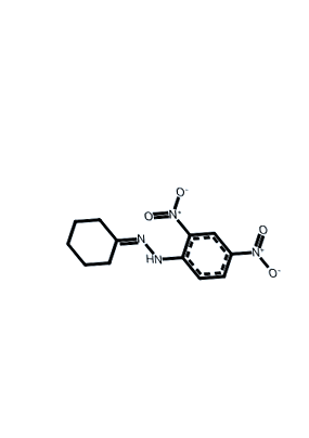 O=[N+]([O-])c1ccc(NN=C2CCCCC2)c([N+](=O)[O-])c1